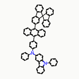 c1ccc(N(c2ccc(-c3c4ccccc4c(-c4ccc5c(c4)C4(c6ccccc6-c6ccccc64)c4ccccc4-5)c4ccccc34)cc2)c2ccc3c(c2)c2ccccc2n3-c2ccccc2)cc1